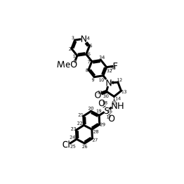 COc1ccncc1-c1ccc(N2CC[C@H](NS(=O)(=O)c3ccc4cc(Cl)ccc4c3)C2=O)c(F)c1